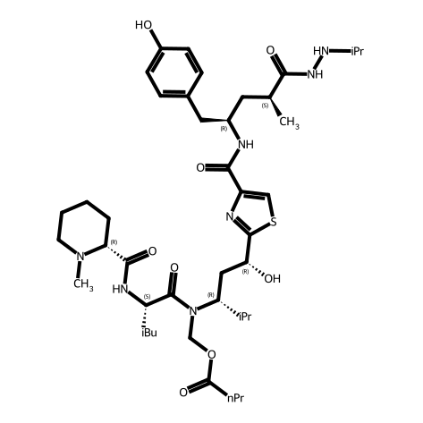 CCCC(=O)OCN(C(=O)[C@@H](NC(=O)[C@H]1CCCCN1C)C(C)CC)[C@H](C[C@@H](O)c1nc(C(=O)N[C@@H](Cc2ccc(O)cc2)C[C@H](C)C(=O)NNC(C)C)cs1)C(C)C